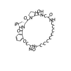 CC(C)C[C@H]1NC(=O)c2ccccc2OCc2noc(n2)CCCCCCCCNC(=O)CNC(=O)[C@H]2CCCN2C1=O